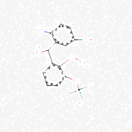 COc1c(OC(F)(F)F)cccc1C(O)c1cc(Cl)ccc1N